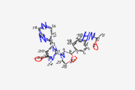 CC(=O)Nc1ccc(C2CN(c3nc(-c4ccncn4)cc(=O)n3C)CCO2)cc1